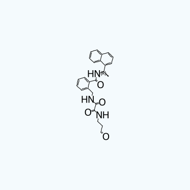 C[C@@H](NC(=O)c1ccccc1CNC(=O)C(=O)NCCC=O)c1cccc2ccccc12